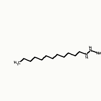 CCCCCCCCCCCCNNN